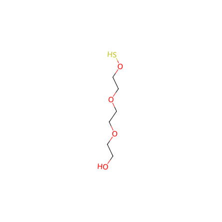 OCCOCCOCCOS